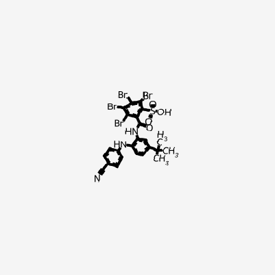 CC(C)(C)c1ccc(Nc2ccc(C#N)cc2)c(NC(=O)c2c(Br)c(Br)c(Br)c(Br)c2S(=O)(=O)O)c1